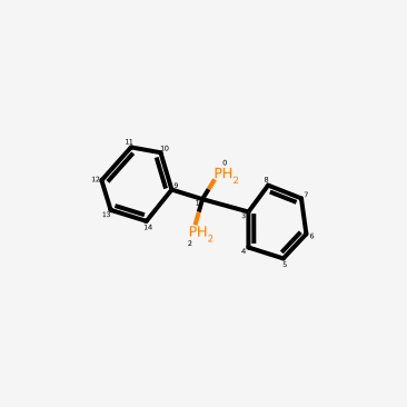 PC(P)(c1ccccc1)c1ccccc1